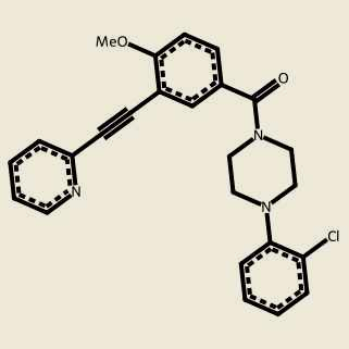 COc1ccc(C(=O)N2CCN(c3ccccc3Cl)CC2)cc1C#Cc1ccccn1